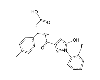 Cc1ccc([C@H](CC(=O)O)NC(=O)c2cc(O)n(-c3ccccc3F)n2)cc1